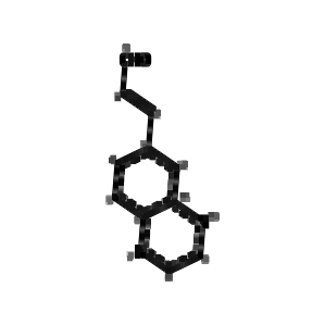 O=C/C=C/c1ccc2nccnc2c1